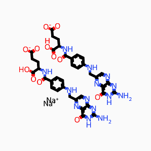 Nc1nc2ncc(CNc3ccc(C(=O)NC(CCC(=O)[O-])C(=O)O)cc3)nc2c(=O)[nH]1.Nc1nc2ncc(CNc3ccc(C(=O)NC(CCC(=O)[O-])C(=O)O)cc3)nc2c(=O)[nH]1.[Na+].[Na+]